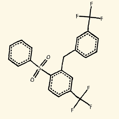 O=S(=O)(c1ccccc1)c1ccc(C(F)(F)F)cc1Cc1cccc(C(F)(F)F)c1